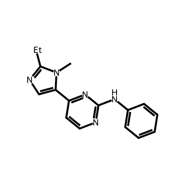 CCc1ncc(-c2ccnc(Nc3ccccc3)n2)n1C